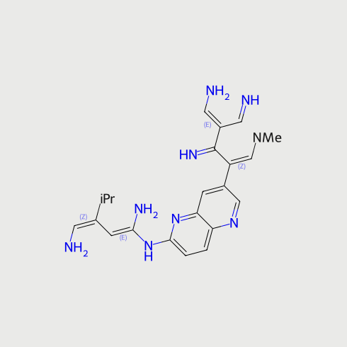 CN/C=C(\C(=N)/C(C=N)=C/N)c1cnc2ccc(N/C(N)=C/C(=C\N)C(C)C)nc2c1